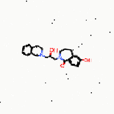 O=C1c2ccc(O)cc2CCCN1CC(O)CN1CCc2ccccc2C1